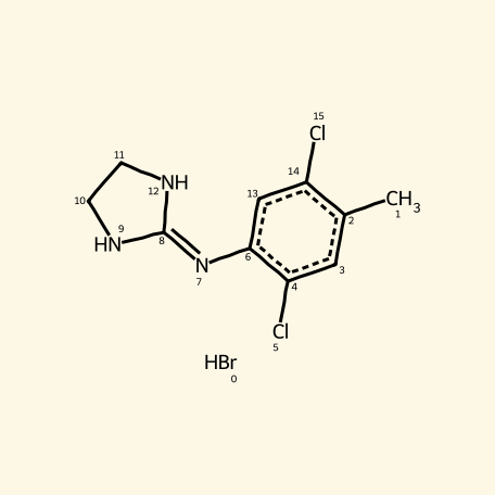 Br.Cc1cc(Cl)c(N=C2NCCN2)cc1Cl